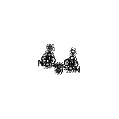 Cc1cc(C2=CC=CC2)cc(C)c1N1C(=O)c2c(C#N)ccc(C#Cc3ccc(C#Cc4ccc(C#N)c5c4C(=O)N(c4c(C)cc(C6=CC=CC6)cc4C)C5=O)c4ccccc34)c2C1=O